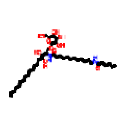 CCCCCCCCCCCCCC[C@@H](O)[C@@H](O)[C@H](CO[C@H]1O[C@H](CO)[C@H](O)[C@H](O)[C@H]1O)NC(=O)CCCCCCCCCCCNC(=O)CCCCC